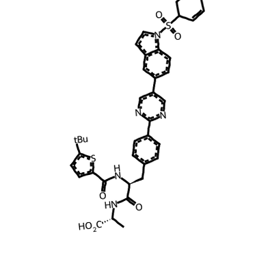 C[C@@H](NC(=O)[C@H](Cc1ccc(-c2ncc(-c3ccc4c(ccn4S(=O)(=O)C4C=CC=CC4)c3)cn2)cc1)NC(=O)c1ccc(C(C)(C)C)s1)C(=O)O